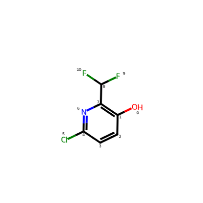 Oc1ccc(Cl)nc1C(F)F